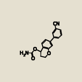 N#Cc1cccc(-c2ccc3c(c2)OCCC3OC(N)=O)c1